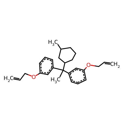 C=CCOc1cccc(C(C)(c2cccc(OCC=C)c2)C2CCCC(C)C2)c1